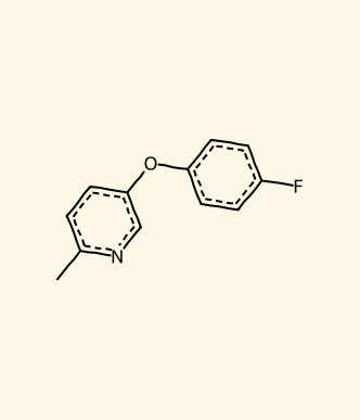 Cc1ccc(Oc2ccc(F)cc2)cn1